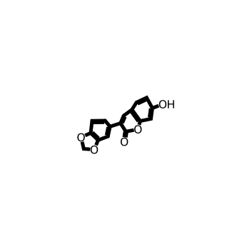 O=c1oc2cc(O)ccc2cc1-c1ccc2c(c1)OCO2